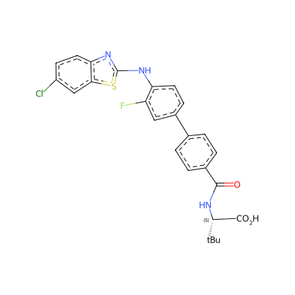 CC(C)(C)[C@H](NC(=O)c1ccc(-c2ccc(Nc3nc4ccc(Cl)cc4s3)c(F)c2)cc1)C(=O)O